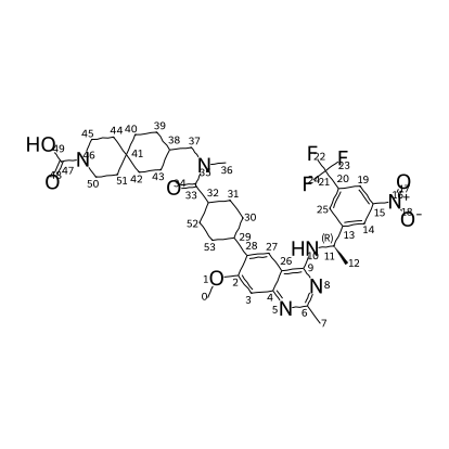 COc1cc2nc(C)nc(N[C@H](C)c3cc([N+](=O)[O-])cc(C(F)(F)F)c3)c2cc1C1CCC(C(=O)N(C)CC2CCC3(CC2)CCN(C(=O)O)CC3)CC1